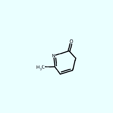 CC1=NC(=O)CC=C1